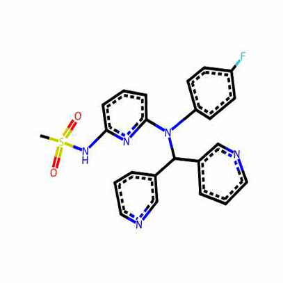 CS(=O)(=O)Nc1cccc(N(c2ccc(F)cc2)C(c2cccnc2)c2cccnc2)n1